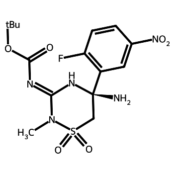 CN1/C(=N/C(=O)OC(C)(C)C)N[C@](N)(c2cc([N+](=O)[O-])ccc2F)CS1(=O)=O